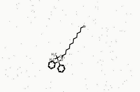 CC(C)(C)[Si](OCCCCCCCCCCCBr)(c1ccccc1)c1ccccc1